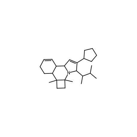 CC(C)C(C)C1C(C2CCCC2)=CC2C3C=CCCC3C3(C)CCC3(C)N21